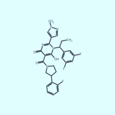 CCC(c1cc(F)cc(F)c1)n1c(-c2cnn(C)c2)nc(=O)c(C(=O)N2CCC(c3ccccc3F)C2)c1O